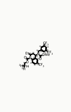 [2H]C([2H])([2H])COC(=O)N1c2ccc(C(F)(F)F)cc2C(N(Cc2cc(C(F)(F)F)cc(C(F)(F)F)c2)C(=O)OC)CC1CC